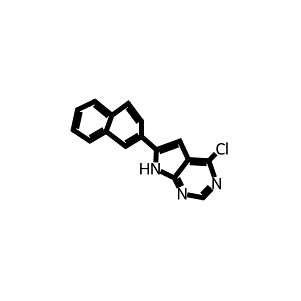 Clc1ncnc2[nH]c(-c3ccc4ccccc4c3)cc12